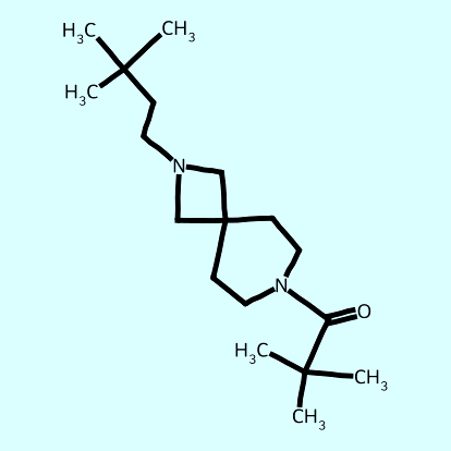 CC(C)(C)CCN1CC2(CCN(C(=O)C(C)(C)C)CC2)C1